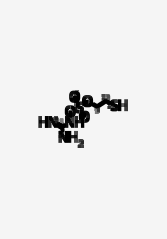 N=C(N)NOS(=O)(=O)OCCS